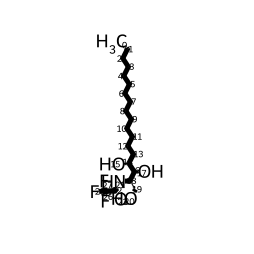 CCCCCCCCCCCCCC[C@@H](O)[C@@H](O)[C@H](CO)NC(=O)C(F)(F)F